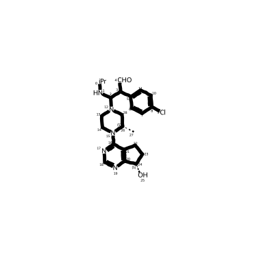 CC(C)NC(C(C=O)c1ccc(Cl)cc1)N1CCN(c2ncnc3c2CC[C@@H]3O)[C@@H](C)C1